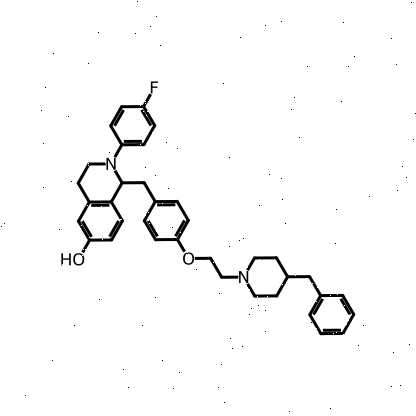 Oc1ccc2c(c1)CCN(c1ccc(F)cc1)C2Cc1ccc(OCCN2CCC(Cc3ccccc3)CC2)cc1